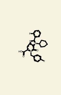 O=C(O)c1cc2nc(-c3ccccc3F)n(C3CCCCC3)c2c(=O)n1Cc1ccc(F)cc1